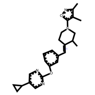 Cc1noc(N2CC/C(=C\c3cccc(Oc4ncc(C5CC5)cn4)c3)C(C)C2)c1C